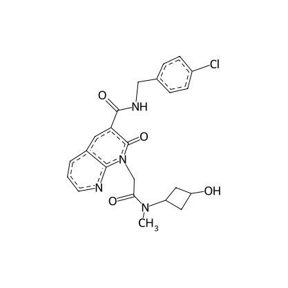 CN(C(=O)Cn1c(=O)c(C(=O)NCc2ccc(Cl)cc2)cc2cccnc21)C1CC(O)C1